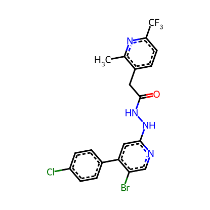 Cc1nc(C(F)(F)F)ccc1CC(=O)NNc1cc(-c2ccc(Cl)cc2)c(Br)cn1